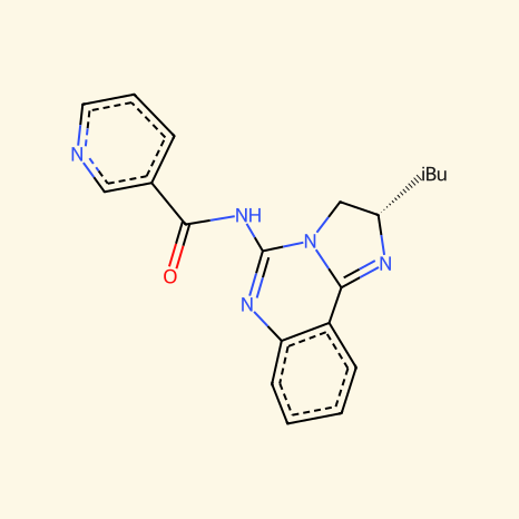 CCC(C)[C@H]1CN2C(NC(=O)c3cccnc3)=Nc3ccccc3C2=N1